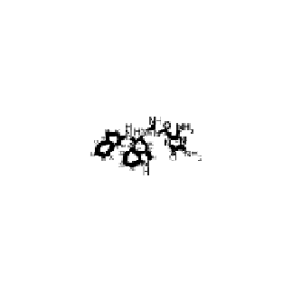 N=C(NC(=O)c1nc(Cl)c(N)nc1N)NC(Cc1c[nH]c2ccccc12)C(=O)Nc1ccc2ccccc2c1